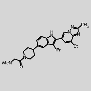 CCc1cc(-c2[nH]c3ccc(C4CCN(C(=O)CNC)CC4)cc3c2C(C)C)cn2nc(C)nc12